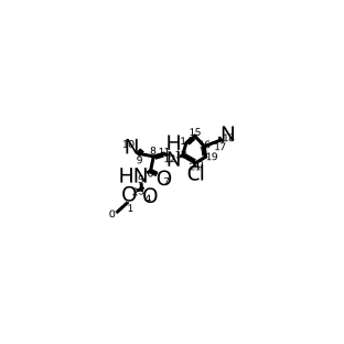 CCOC(=O)NC(=O)/C(C#N)=C\Nc1ccc(C#N)cc1Cl